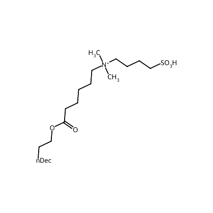 CCCCCCCCCCCCOC(=O)CCCCC[N+](C)(C)CCCCS(=O)(=O)O